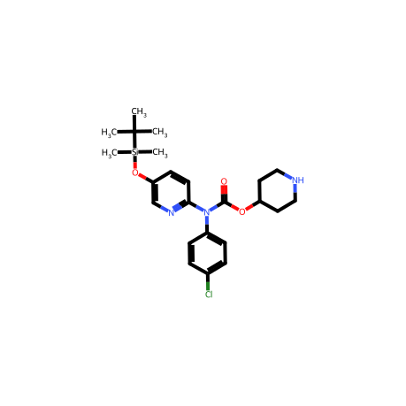 CC(C)(C)[Si](C)(C)Oc1ccc(N(C(=O)OC2CCNCC2)c2ccc(Cl)cc2)nc1